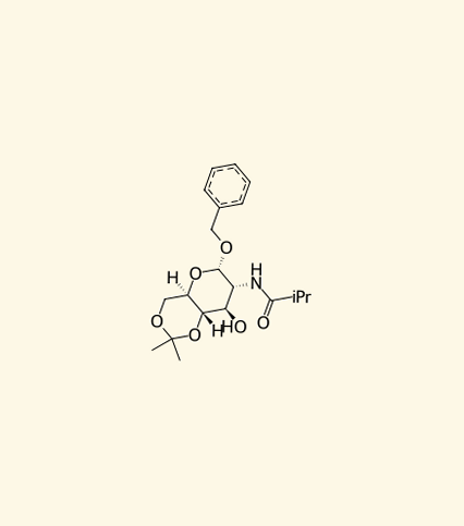 CC(C)C(=O)N[C@H]1[C@@H](OCc2ccccc2)O[C@@H]2COC(C)(C)O[C@H]2[C@@H]1O